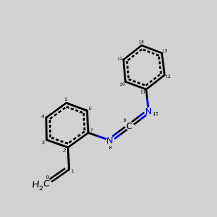 C=Cc1ccccc1N=C=Nc1ccccc1